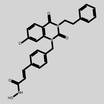 O=C(/C=C/c1ccc(Cn2c(=O)n(CCc3ccccc3)c(=O)c3ccc(Cl)cc32)cc1)NO